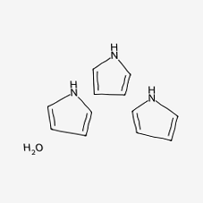 O.c1cc[nH]c1.c1cc[nH]c1.c1cc[nH]c1